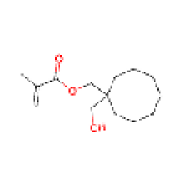 C=C(C)C(=O)OCC1(CO)CCCCCCC1